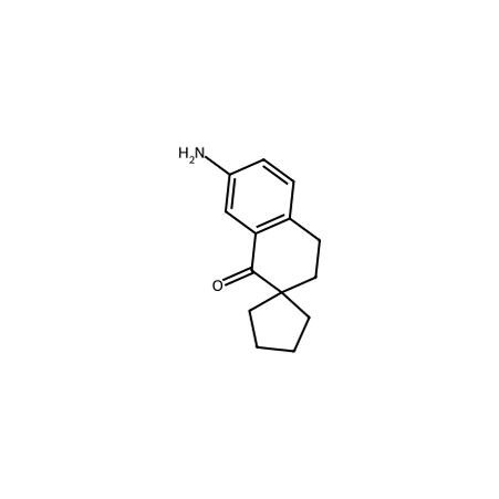 Nc1ccc2c(c1)C(=O)C1(CCCC1)CC2